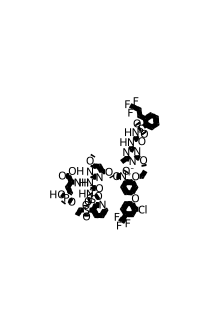 CCOc1cc(Oc2ccc(C(F)(F)F)cc2Cl)ccc1[N+](=O)[O-].CCS(=O)(=O)c1cccnc1S(=O)(=O)NC(=O)Nc1nc(OC)cc(OC)n1.COc1nc(C)nc(NC(=O)NS(=O)(=O)c2ccccc2CCC(F)(F)F)n1.CP(=O)(O)CCC(N)C(=O)O